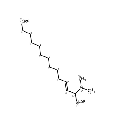 CCCCCCCCCCCCCCCCCCC/C=C/C(CCCCCCCCC)N(C)C